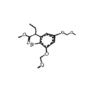 CCC(C(=O)OC)c1cc(OCOC)cc(OCOC)c1Br